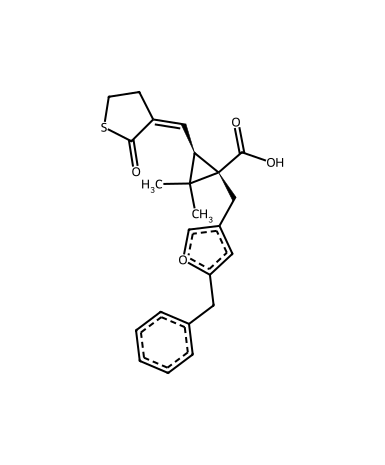 CC1(C)[C@@H](C=C2CCSC2=O)[C@]1(Cc1coc(Cc2ccccc2)c1)C(=O)O